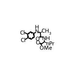 CCC[C@H](NC(=O)[C@H](C)Nc1ccc(Cl)c(Cl)c1)C(=O)OC